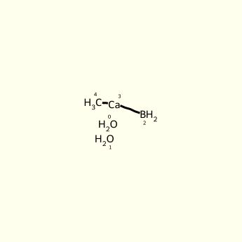 O.O.[BH2][Ca][CH3]